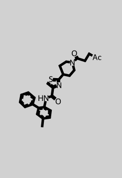 CC(=O)CCC(=O)N1CCC(c2nc(C(=O)Nc3ccc(C)cc3-c3ccccc3)cs2)CC1